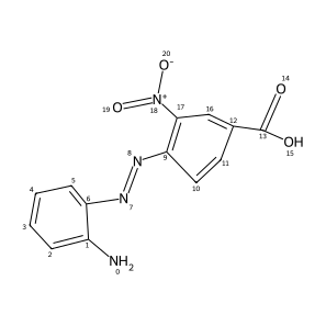 Nc1ccccc1N=Nc1ccc(C(=O)O)cc1[N+](=O)[O-]